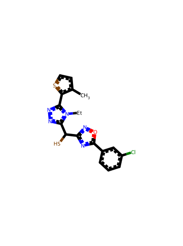 CCn1c(-c2sccc2C)nnc1C(S)c1noc(-c2cccc(Cl)c2)n1